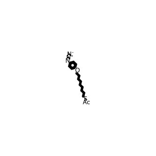 CC(=O)SCCCCCCCCCOc1ccc(N=[N+]=[N-])cc1